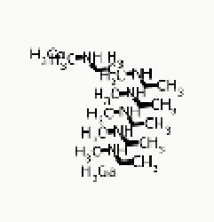 CCNC.CCNC.CCNC.CCNC.CCNC.CCNC.[GaH3].[GaH3]